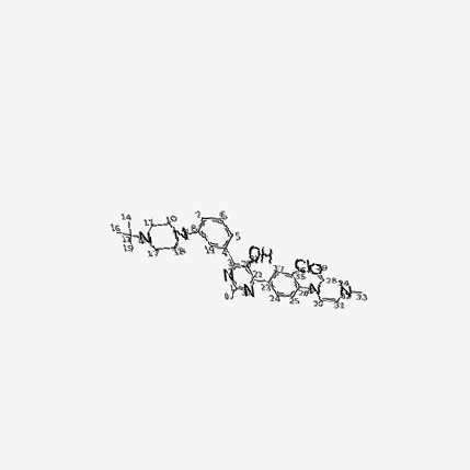 Cc1nc(-c2cccc(N3CCN(C(C)(C)C)CC3)c2)c(O)c(-c2ccc(N(C=O)/C=C\N(C)C)c(Cl)c2)n1